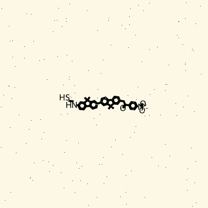 CC1(C)c2cc(CC(=O)c3ccc([N+](=O)[O-])cc3)ccc2-c2ccc(-c3ccc4c(c3)C(C)(C)c3cc(NCCS)ccc3-4)cc21